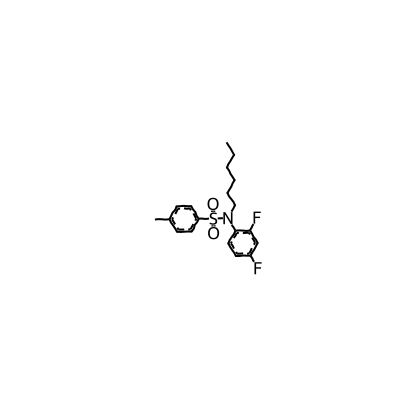 CCCCCCN(c1ccc(F)cc1F)S(=O)(=O)c1ccc(C)cc1